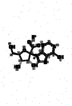 O=C([O-])[C@@]1(n2cnc3c(O)ncnc32)O[C@H](CO)[C@@H](O)[C@H]1O.[K+]